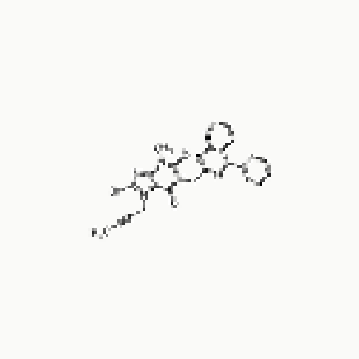 CC#CCn1c(Br)nc2c1c(=O)n(Cc1nc(-c3ccccc3)c3ccccc3n1)c(=O)n2C